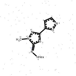 CCCCCC/N=c1\sc(-c2ccno2)nn1C